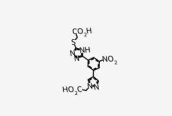 O=C(O)CSc1nnc(-c2cc(-c3cnn(CC(=O)O)c3)cc([N+](=O)[O-])c2)[nH]1